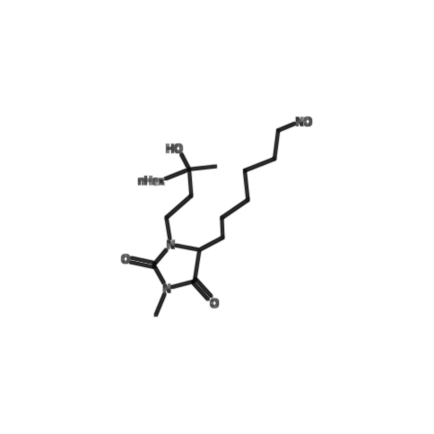 CCCCCCC(C)(O)CCN1C(=O)N(C)C(=O)C1CCCCCCN=O